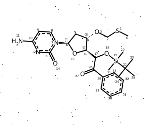 CSCO[C@H]1C[C@H](n2ccc(N)nc2=O)O[C@@H]1C(O[Si](C)(C)C(C)(C)C)C(=O)c1ccccc1